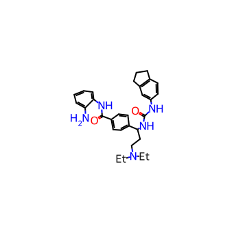 CCN(CC)CCC(NC(=O)Nc1ccc2c(c1)CCC2)c1ccc(C(=O)Nc2ccccc2N)cc1